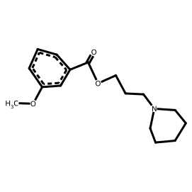 COc1cccc(C(=O)OCCCN2CCCCC2)c1